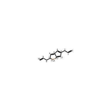 C=CCC1=CC2=CC(CC=C)SC2=C1